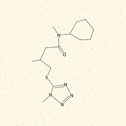 CC(CSc1nnnn1C)CC(=O)N(C)C1CCCCC1